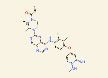 C=CC(=O)N1CCN(c2ncc3ncnc(Nc4ccc(Oc5ccn(NC)c(=N)c5)c(C)c4F)c3n2)C(C)[C@H]1C